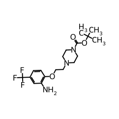 CC(C)(C)OC(=O)N1CCN(CCOc2ccc(C(F)(F)F)cc2N)CC1